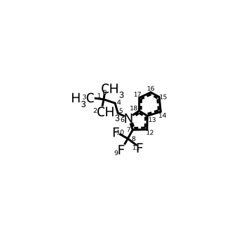 CC(C)(C)CCn1c(C(F)(F)F)cc2ccccc21